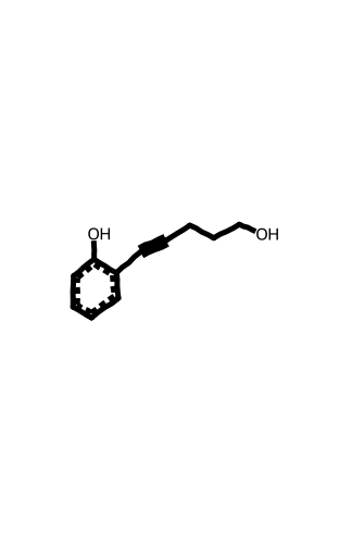 OCCCC#Cc1ccccc1O